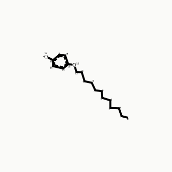 CCCCCCCCCCCCOc1ccc([O])cc1